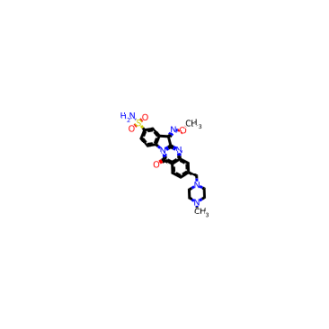 CO/N=C1/c2cc(S(N)(=O)=O)ccc2-n2c1nc1cc(CN3CCN(C)CC3)ccc1c2=O